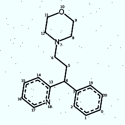 c1ccc(C(CCN2CCOCC2)c2ccccn2)cc1